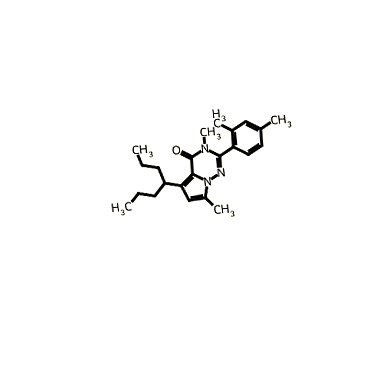 CCCC(CCC)c1cc(C)n2nc(-c3ccc(C)cc3C)n(C)c(=O)c12